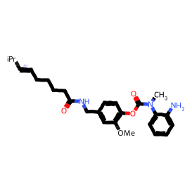 COc1cc(CNC(=O)CCCC/C=C/C(C)C)ccc1OC(=O)N(C)c1ccccc1N